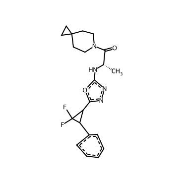 C[C@H](Nc1nnc(C2C(c3ccccc3)C2(F)F)o1)C(=O)N1CCC2(CC1)CC2